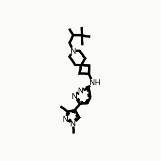 Cc1nn(C)cc1-c1ccc(NC2CC3(CCN(CC(C)C(C)(C)C)CC3)C2)nn1